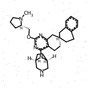 CN1CCC[C@H]1COc1nc2c(c(N3[C@@H]4CC[C@H]3CNC4)n1)CC[C@]1(CCc3ccccc3C1)C2